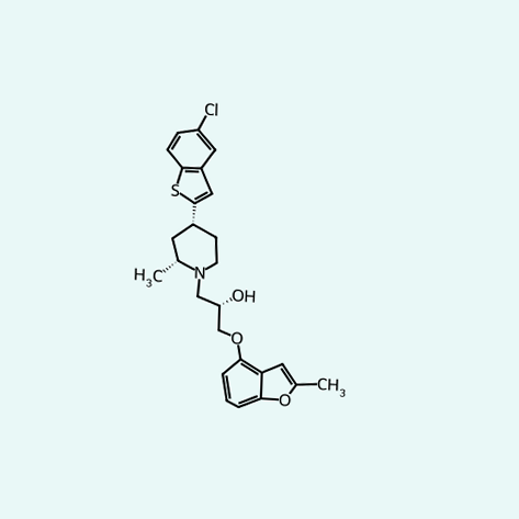 Cc1cc2c(OC[C@@H](O)CN3CC[C@@H](c4cc5cc(Cl)ccc5s4)C[C@H]3C)cccc2o1